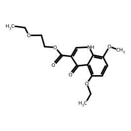 CCOCCOC(=O)c1c[nH]c2c(OC)ccc(OCC)c2c1=O